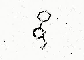 COc1nccc(N2CCOCC2)n1